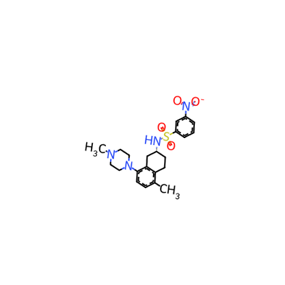 Cc1ccc(N2CCN(C)CC2)c2c1CC[C@@H](NS(=O)(=O)c1cccc([N+](=O)[O-])c1)C2